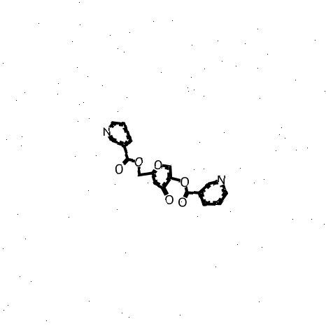 O=C(OCc1cc(=O)c(OC(=O)c2cccnc2)co1)c1cccnc1